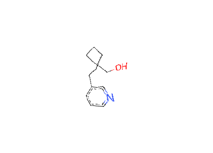 OCC1(Cc2cccnc2)CCC1